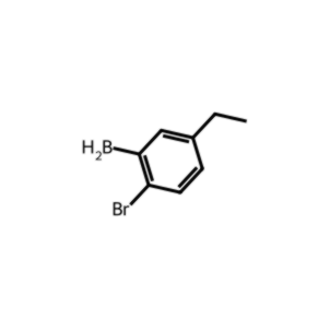 Bc1cc(CC)ccc1Br